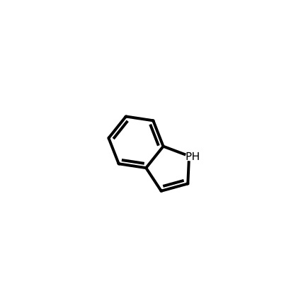 c1ccc2[pH]ccc2c1